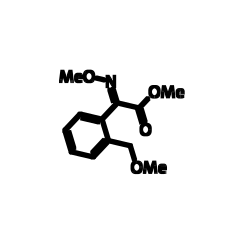 COCc1ccccc1/C(=N\OC)C(=O)OC